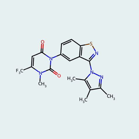 Cc1nn(-c2nsc3ccc(-n4c(=O)cc(C(F)(F)F)n(C)c4=O)cc23)c(C)c1C